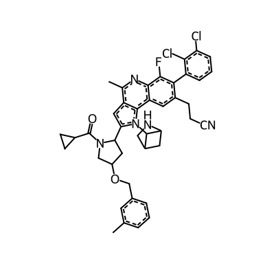 Cc1cccc(COC2CC(c3cc4c(C)nc5c(F)c(-c6cccc(Cl)c6Cl)c(CCC#N)cc5c4n3C3C4CNC3C4)N(C(=O)C3CC3)C2)c1